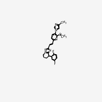 COc1nc(C=Cc2nc3n(n2)CCCC3c2cc(F)ccc2F)ccc1-n1cnc(C)c1